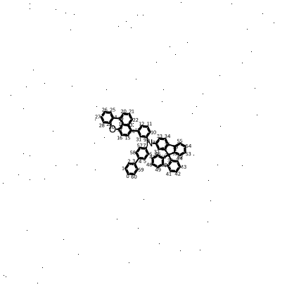 c1ccc(-c2ccc(N(c3cccc(-c4ccc5c6c(cccc46)-c4ccccc4O5)c3)c3ccc4c(c3)C(c3ccccc3)(c3ccccc3)c3ccccc3-4)cc2)cc1